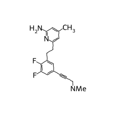 CNCC#Cc1cc(F)c(F)c(CCc2cc(C)cc(N)n2)c1